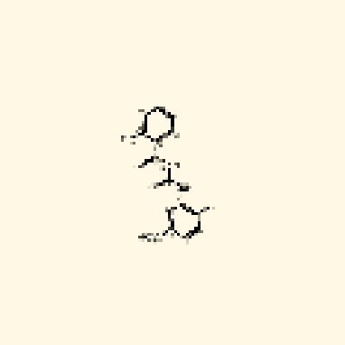 Cc1ccc(C(=O)O)cc1NC(=S)NC(=O)c1ccccc1Cl